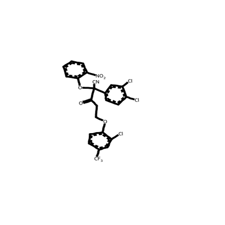 N#CC(Oc1ccccc1[N+](=O)[O-])(C(=O)CCOc1ccc(C(F)(F)F)cc1Cl)c1ccc(Cl)c(Cl)c1